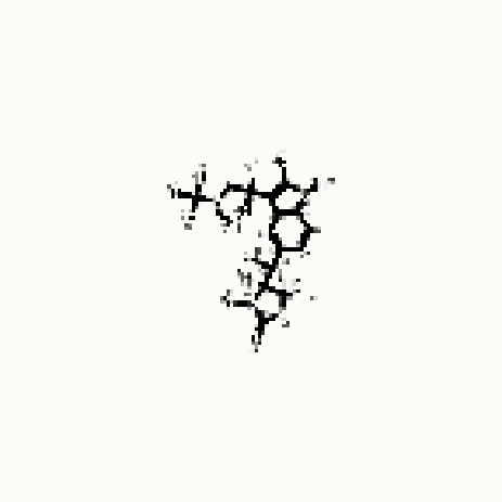 [2H]c1c(C([2H])([2H])CN(C)C([2H])([2H])[2H])c2cc(C([2H])([2H])[C@]3([2H])N([2H])C(=O)OC3([2H])[2H])ccc2n1[2H]